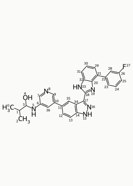 CC(C)C(O)Nc1cncc(-c2ccc3[nH]nc(-c4nc5c(-c6cccc(F)c6)cccc5[nH]4)c3c2)c1